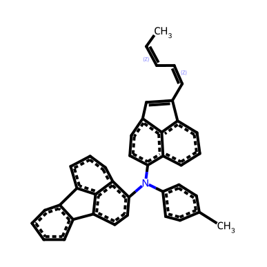 C/C=C\C=C/C1=Cc2ccc(N(c3ccc(C)cc3)c3ccc4c5c(cccc35)-c3ccccc3-4)c3cccc1c23